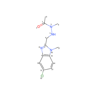 CC(=O)N(C)NCc1nc2cc(Cl)ccc2n1C